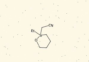 CC[Si]1(CC#N)CCCCO1